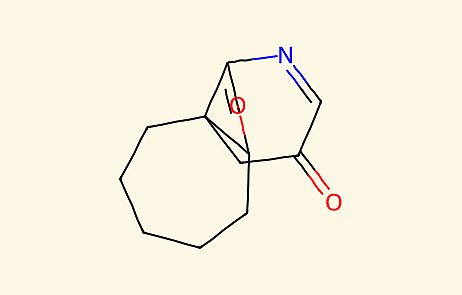 O=C1C=NC2=COC3CCCCCC23C1